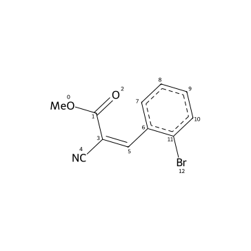 COC(=O)C(C#N)=Cc1ccccc1Br